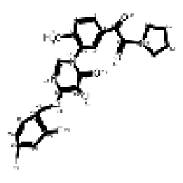 Cc1ccc(C(=O)C(=O)N2CCCC2)cc1-n1cnc(OCc2ccc(F)cc2F)c(Cl)c1=O